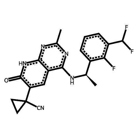 Cc1nc(N[C@H](C)c2cccc(C(F)F)c2F)c2cc(C3(C#N)CC3)c(=O)[nH]c2n1